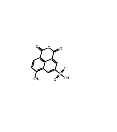 Cc1ccc2c3c(cc(S(=O)(=O)O)cc13)C(=O)OC2=O